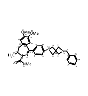 CNC(=O)N1N=C(c2ccc(N3CC4(CN(Cc5ccccc5)C4)C3)cc2)c2cc(OC)c(OC)cc2CC1C